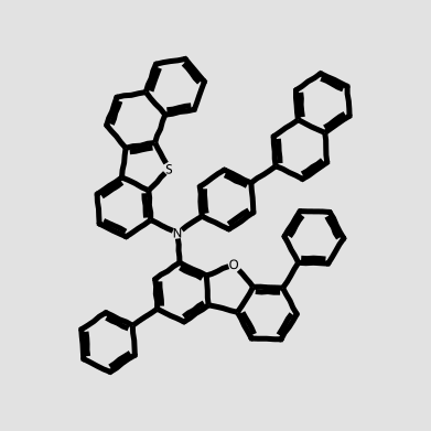 c1ccc(-c2cc(N(c3ccc(-c4ccc5ccccc5c4)cc3)c3cccc4c3sc3c5ccccc5ccc43)c3oc4c(-c5ccccc5)cccc4c3c2)cc1